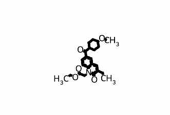 CCOC(=O)Cn1c(=O)c(CC)cc2cc(C(=O)C3CCC(OC)CC3)ccc21